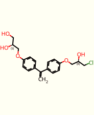 C=C(c1ccc(OC[C@@H](O)CO)cc1)c1ccc(OC[C@@H](O)CCl)cc1